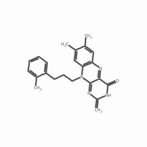 C=c1nc2c(c(=O)[nH]1)=Nc1cc(C)c(C)cc1N2CCCc1ccccc1C